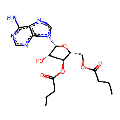 CCCC(=O)OC[C@H]1O[C@@H](n2cnc3c(N)ncnc32)[C@@H](O)[C@@H]1OC(=O)CCC